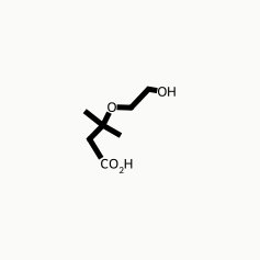 CC(C)(CC(=O)O)OCCO